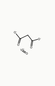 O=C([O-])CC(=O)[O-].[O]=[V+2]